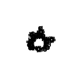 CC(=O)O[C@H]1C(=O)Nc2ccc(cc2)C[C@H](C(=O)O)NC(=O)[C@@H](CCc2ccccc2)NC(=O)[C@H](Cc2ccc(Cl)cc2Cl)NC(=O)[C@@H](Cc2cccs2)NC(=O)[C@@H]1OC(C)=O